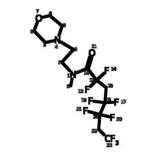 CN(CCN1CCOCC1)C(=O)C(F)(F)CC(F)(F)C(F)(F)CC(F)(F)F